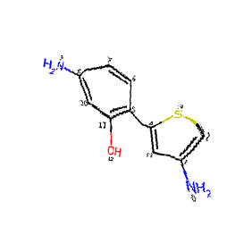 Nc1csc(-c2ccc(N)cc2O)c1